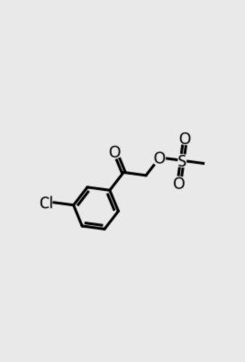 CS(=O)(=O)OCC(=O)c1cccc(Cl)c1